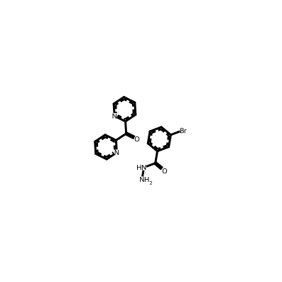 NNC(=O)c1cccc(Br)c1.O=C(c1ccccn1)c1ccccn1